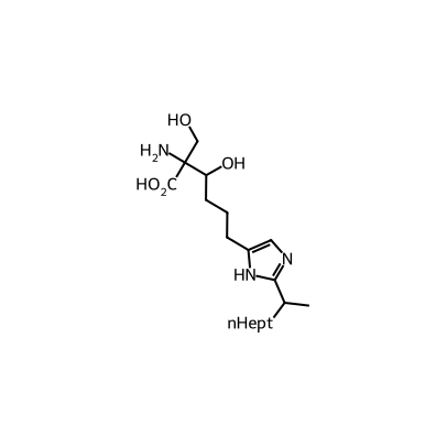 CCCCCCCC(C)c1ncc(CCCC(O)C(N)(CO)C(=O)O)[nH]1